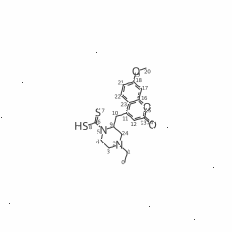 CCN1CCN(C(=S)S)C(Cc2cc(=O)oc3cc(OC)ccc23)C1